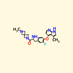 Cc1c[nH]c2nccc(Oc3ccc(CC(N)C(=O)N4CC5(CN(C)C5)C4)cc3F)c12